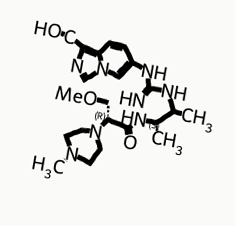 COC[C@H](C(=O)N[C@@H](C)C(C)NC(=N)Nc1ccc2c(CO)ncn2c1)N1CCN(C)CC1